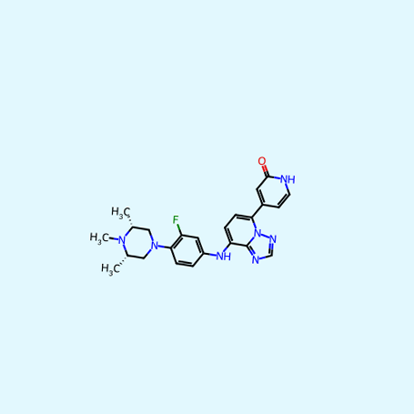 C[C@@H]1CN(c2ccc(Nc3ccc(-c4cc[nH]c(=O)c4)n4ncnc34)cc2F)C[C@H](C)N1C